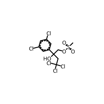 CS(=O)(=O)OCC(O)(CC(Cl)(Cl)Cl)c1cc(Cl)cc(Cl)c1